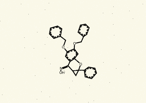 ON=C1c2cc(OCc3ccccc3)c(OCc3ccccc3)cc2OC2(c3ccccc3)CC12